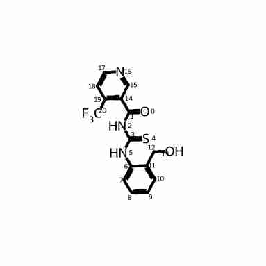 O=C(NC(=S)Nc1ccccc1CO)c1cnccc1C(F)(F)F